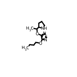 CCCCOc1nsnc1OC(C)C1CCCN1